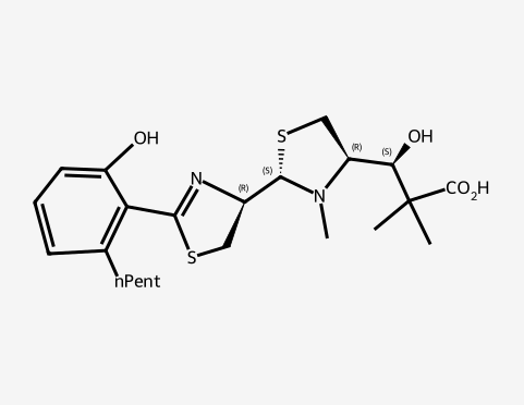 CCCCCc1cccc(O)c1C1=N[C@@H]([C@@H]2SC[C@@H]([C@@H](O)C(C)(C)C(=O)O)N2C)CS1